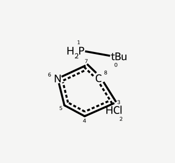 CC(C)(C)P.Cl.c1ccncc1